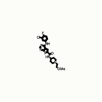 COCCN1CCC(NC(=O)c2cc3c(Nc4ccc(F)c(Cl)c4)ncnc3s2)CC1